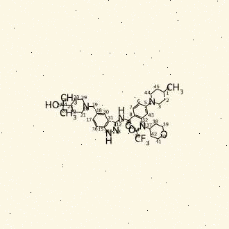 CC1CCN(c2ccc(C(=O)Nc3n[nH]c4ccc(CN5CCC(C(C)(C)O)CC5)cc34)c(N(C(=O)C(F)(F)F)C3CCOCC3)c2)CC1